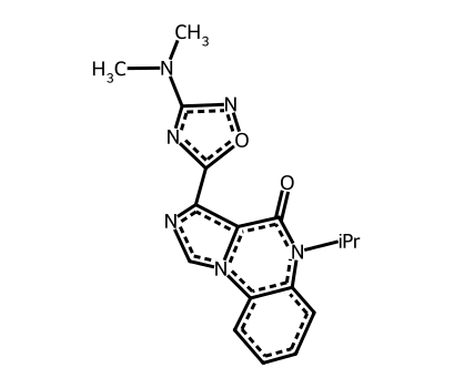 CC(C)n1c(=O)c2c(-c3nc(N(C)C)no3)ncn2c2ccccc21